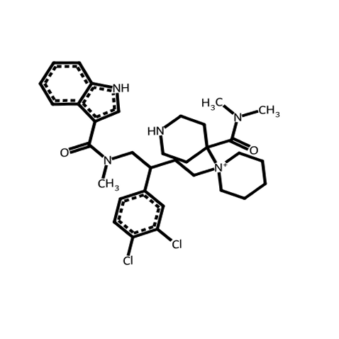 CN(C)C(=O)C1([N+]2(CCC(CN(C)C(=O)c3c[nH]c4ccccc34)c3ccc(Cl)c(Cl)c3)CCCCC2)CCNCC1